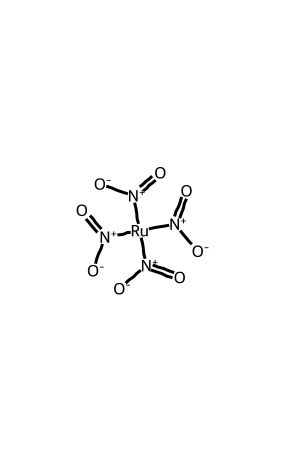 O=[N+]([O-])[Ru]([N+](=O)[O-])([N+](=O)[O-])[N+](=O)[O-]